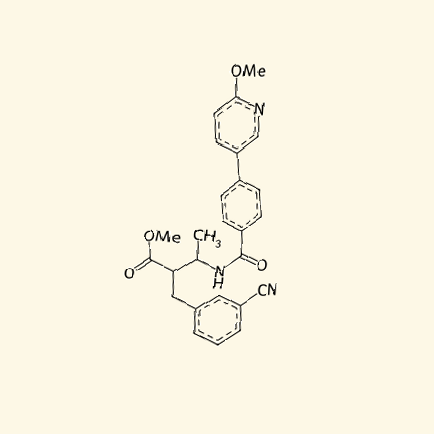 COC(=O)C(Cc1cccc(C#N)c1)C(C)NC(=O)c1ccc(-c2ccc(OC)nc2)cc1